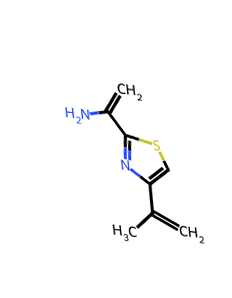 C=C(C)c1csc(C(=C)N)n1